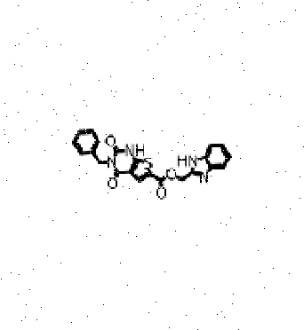 O=C(OCc1nc2ccccc2[nH]1)c1cc2c(=O)n(Cc3ccccc3)c(=O)[nH]c2s1